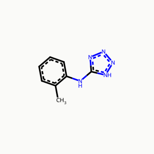 Cc1ccccc1Nc1nnn[nH]1